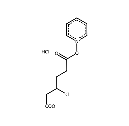 Cl.O=C([O-])CC(Cl)CCC(=O)O[n+]1ccccc1